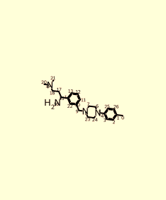 Cc1ccc(N2CCN(Cc3cccc(C(N)CCN(C)C)c3)CC2)cc1